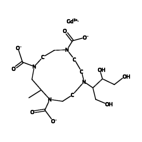 CC1CN(C(=O)[O-])CCN(C(=O)[O-])CCN(C(CO)C(O)CO)CCN1C(=O)[O-].[Gd+3]